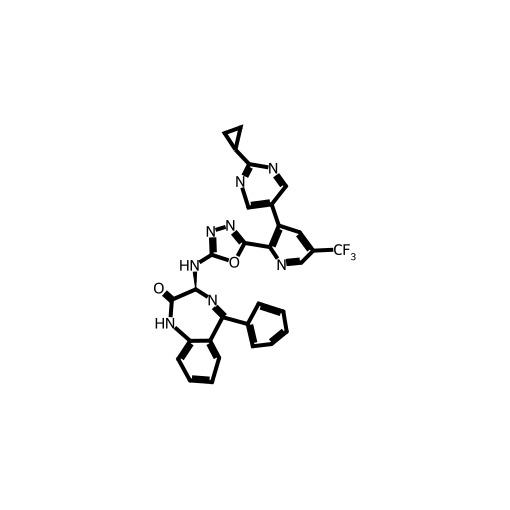 O=C1Nc2ccccc2C(c2ccccc2)=N[C@@H]1Nc1nnc(-c2ncc(C(F)(F)F)cc2-c2cnc(C3CC3)nc2)o1